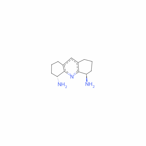 N[C@@H]1CCCc2cc3c(nc21)[C@H](N)CCC3